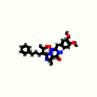 COc1ccc(Cc2nn3c(C(CCCc4ccccc4)C(C)O)nc(C)c3c(=O)[nH]2)cc1OC